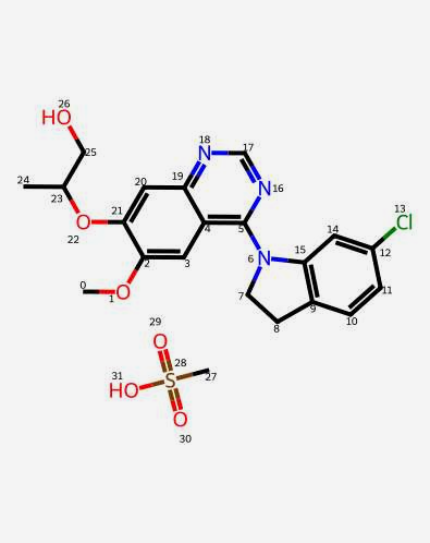 COc1cc2c(N3CCc4ccc(Cl)cc43)ncnc2cc1OC(C)CO.CS(=O)(=O)O